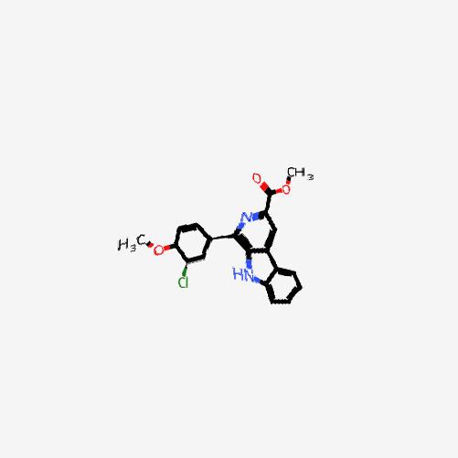 COC(=O)c1cc2c([nH]c3ccccc32)c([C@@H]2C=CC(OC)[C@H](Cl)C2)n1